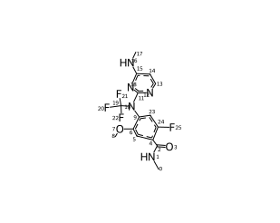 CNC(=O)c1cc(OC)c(N(c2nccc(NC)n2)C(F)(F)F)cc1F